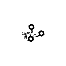 O=[SH](=O)CN(Cc1ccccc1)c1c[c]ccc1OCc1ccccc1